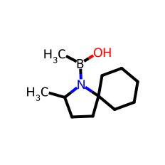 CB(O)N1C(C)CCC12CCCCC2